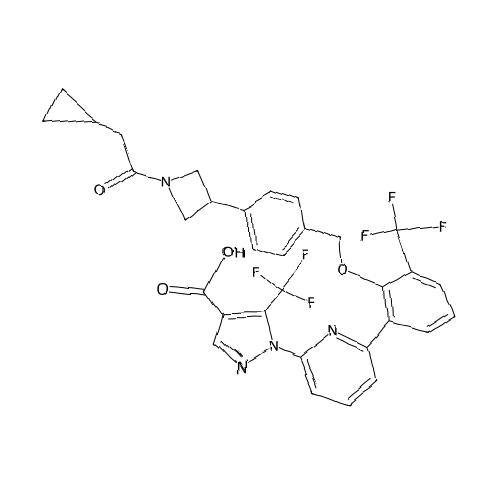 O=C(O)c1cnn(-c2cccc(-c3cccc(C(F)(F)F)c3OCc3ccc(C4CN(C(=O)CC5CC5)C4)cc3)n2)c1C(F)(F)F